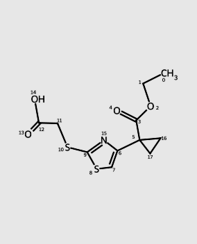 CCOC(=O)C1(c2csc(SCC(=O)O)n2)CC1